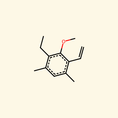 C=Cc1c(C)cc(C)c(CC)c1OC